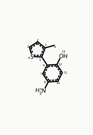 Cc1ccsc1-c1cc(N)ccc1O